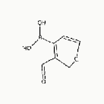 O=CC1=C(B(O)O)C=CCC1